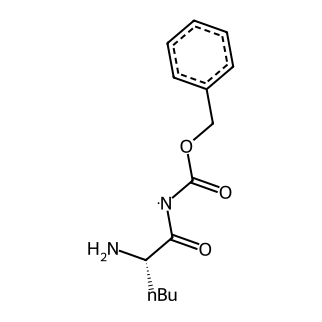 CCCC[C@H](N)C(=O)[N]C(=O)OCc1ccccc1